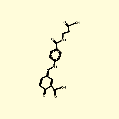 O=C(O)CCNC(=O)c1ccc(NN=C2C=CC(=O)C(C(=O)O)=C2)cc1